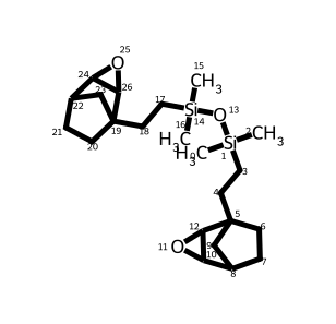 C[Si](C)(CCC12CCC(C1)C1OC12)O[Si](C)(C)CCC12CCC(C1)C1OC12